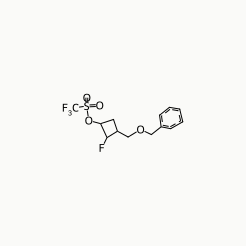 O=S(=O)(OC1CC(COCc2ccccc2)C1F)C(F)(F)F